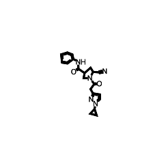 N#CC1CC(C(=O)Nc2ccccc2)CN1C(=O)Cc1ccn(C2CC2)n1